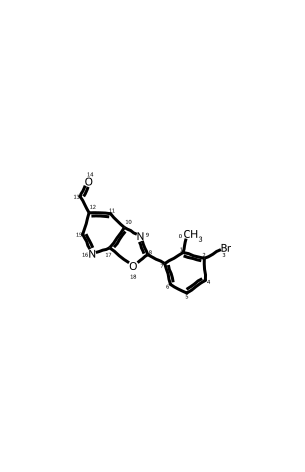 Cc1c(Br)cccc1-c1nc2cc(C=O)cnc2o1